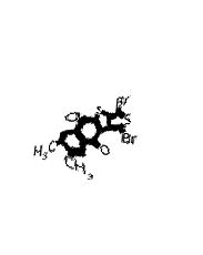 Cc1cc2c(cc1C)C(=O)c1c(sc3c(Br)sc(Br)c13)C2=O